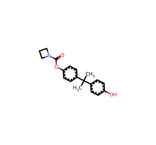 CC(C)(c1ccc(O)cc1)c1ccc(OC(=O)N2CCC2)cc1